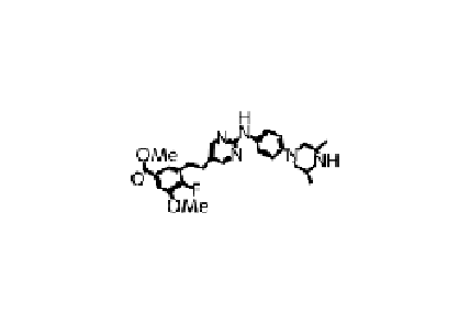 COC(=O)c1cc(CCc2cnc(Nc3ccc(N4CC(C)NC(C)C4)cc3)nc2)c(F)c(OC)c1